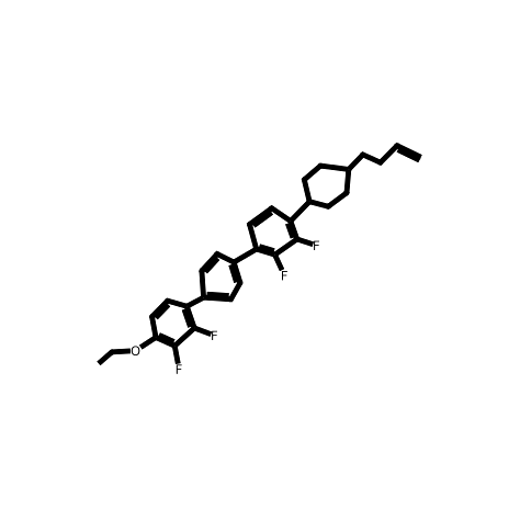 C=CCCC1CCC(c2ccc(-c3ccc(-c4ccc(OCC)c(F)c4F)cc3)c(F)c2F)CC1